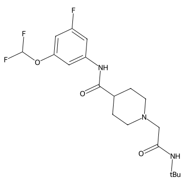 CC(C)(C)NC(=O)CN1CCC(C(=O)Nc2cc(F)cc(OC(F)F)c2)CC1